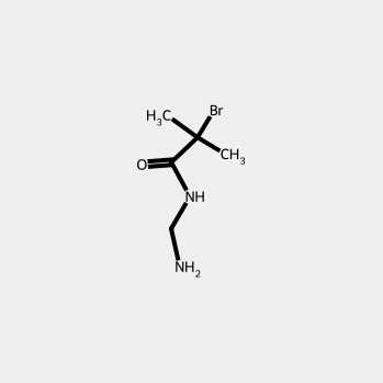 CC(C)(Br)C(=O)NCN